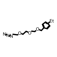 CCc1ccc(COCCOCCOCCN=[N+]=[N-])cc1